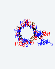 CC[C@H](C)[C@@H]1NC(=O)[C@H](CC(=O)O)NC(=O)[C@H](CCSC)NC(=O)[C@@H]2CCCN2C(=O)[C@@H](NC(=O)[C@H](CCCNC(=N)N)NC(=O)[C@H](CO)NC(C)=O)CSSC[C@@H](C(N)=O)NC(=O)[C@H](CCC(=O)O)NC(=O)CNC(=O)[C@H](C)NC1=O